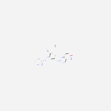 Cl.N#Cc1ncc(Nc2ncc3[nH]c(=O)ccc3n2)cc1N=CC1CCCCN1